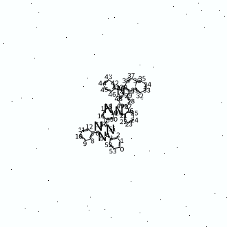 c1ccc(-c2nc(-c3ccccc3)nc(-c3ccnc(-n4c5ccccc5c5cc6c7c8ccccc8ccc7n(-c7ccccc7)c6cc54)c3)n2)cc1